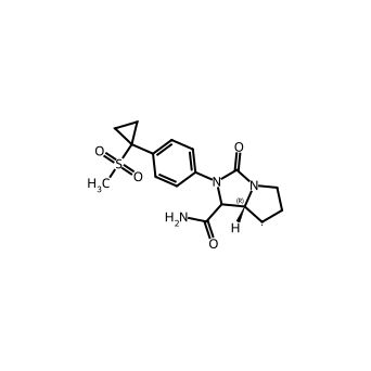 CS(=O)(=O)C1(c2ccc(N3C(=O)N4CC[CH][C@@H]4C3C(N)=O)cc2)CC1